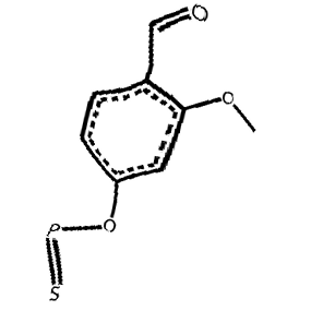 COc1cc(OP=S)ccc1C=O